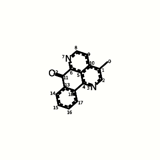 Cc1cnc2c3c(nccc13)C(=O)c1ccccc1-2